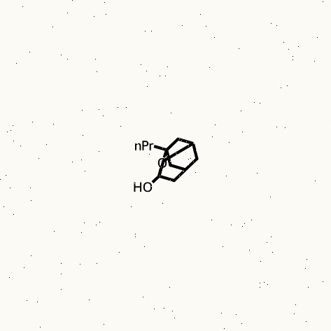 CCCC12CC3CC(CC(O)(C3)O1)C2